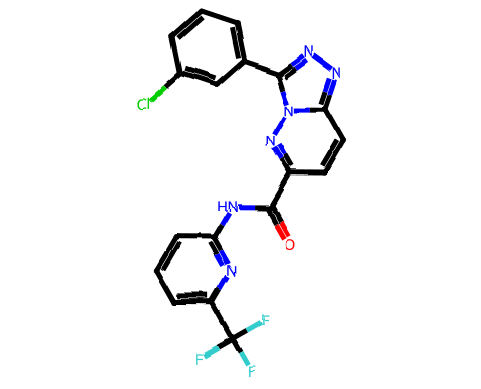 O=C(Nc1cccc(C(F)(F)F)n1)c1ccc2nnc(-c3cccc(Cl)c3)n2n1